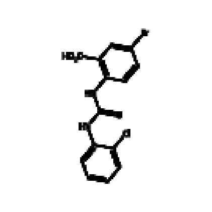 O=C(Nc1ccccc1Cl)Nc1ccc(Br)cc1C(=O)O